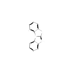 [c]1ccc2[nH]c3nc4ccccc4n3c2c1